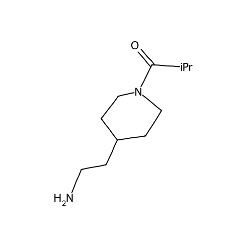 CC(C)C(=O)N1CCC(CCN)CC1